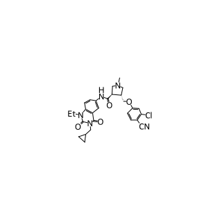 CCn1c(=O)n(CC2CC2)c(=O)c2cc(NC(=O)[C@H]3CN(C)C[C@@H]3COc3ccc(C#N)c(Cl)c3)ccc21